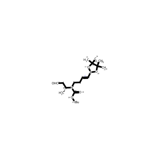 C[C@H](CC=O)N(CC/C=C/B1OC(C)(C)C(C)(C)O1)C(=O)OC(C)(C)C